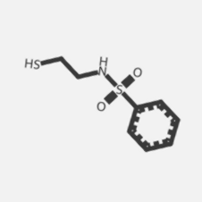 O=S(=O)(NCCS)c1ccccc1